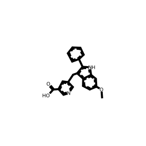 COc1ccc2c(Cc3cncc(C(=O)O)c3)c(-c3ccccc3)[nH]c2c1